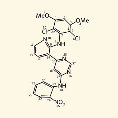 COc1cc(OC)c(Cl)c(Nc2ncccc2-c2cc(Nc3ccccc3[N+](=O)[O-])ncn2)c1Cl